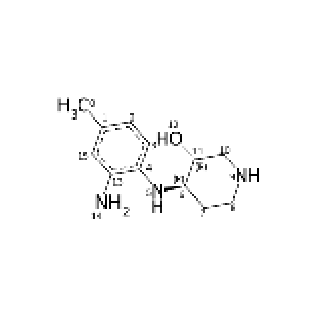 Cc1ccc(N[C@@H]2CCNC[C@H]2O)c(N)c1